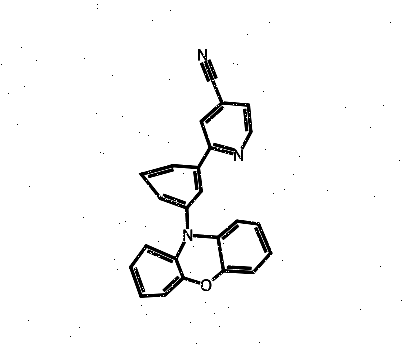 N#Cc1ccnc(-c2cccc(N3c4ccccc4Oc4ccccc43)c2)c1